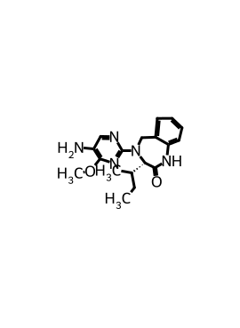 CCC(C)[C@H]1C(=O)Nc2ccccc2CN1c1ncc(N)c(OC)n1